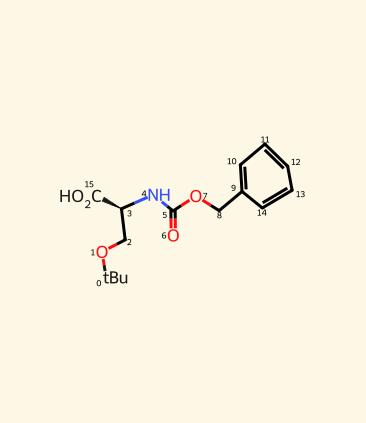 CC(C)(C)OC[C@H](NC(=O)OCc1ccccc1)C(=O)O